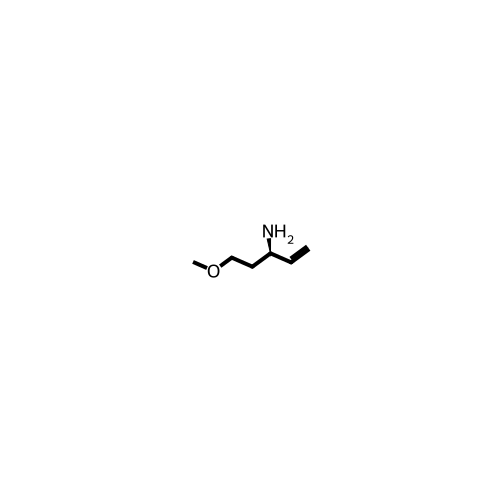 C=C[C@H](N)CCOC